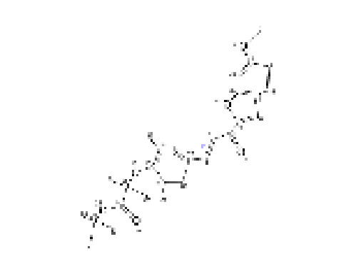 COc1ccc2cc(C(=O)/C=C/c3cc(C)c(OC(C)(C)C(=O)OC(C)(C)C)c(C)c3)oc2c1